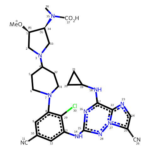 CO[C@@H]1CN(C2CCN(c3cc(C#N)cc(Nc4nc(NC5CC5)c5ncc(C#N)n5n4)c3Cl)CC2)C[C@@H]1N(C)C(=O)O